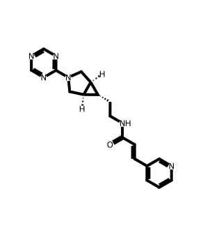 O=C(/C=C/c1cccnc1)NCC[C@@H]1[C@H]2CN(c3ncncn3)C[C@@H]12